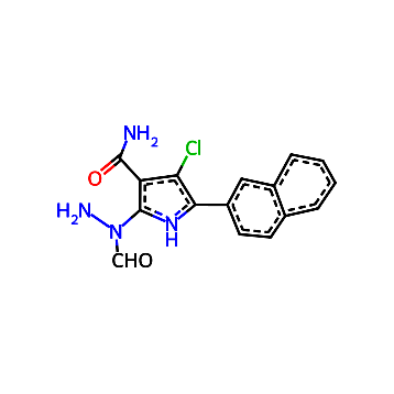 NC(=O)c1c(N(N)C=O)[nH]c(-c2ccc3ccccc3c2)c1Cl